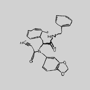 C#CC(=O)N(c1ccc2c(c1)OCO2)C(C(=O)NCc1ccccc1)c1ccccc1F